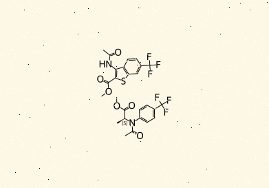 COC(=O)[C@H](C)N(C(C)=O)c1ccc(C(F)(F)F)cc1.COC(=O)c1sc2cc(C(F)(F)F)ccc2c1NC(C)=O